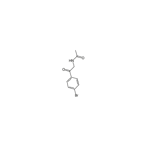 CC(=O)NCC(=O)c1ccc(Br)cc1